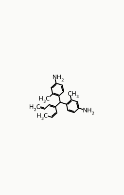 C=C/C=C(\C=C/C)C(c1ccc(N)cc1C)c1ccc(N)cc1C